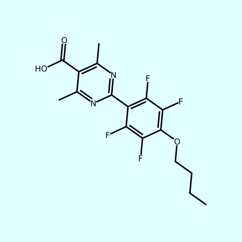 CCCCOc1c(F)c(F)c(-c2nc(C)c(C(=O)O)c(C)n2)c(F)c1F